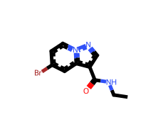 CCNC(=O)c1cnn2ccc(Br)cc12